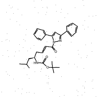 CC(C)C[C@@H](C/C=C/C(=O)n1nc(-c2ccccc2)cc1-c1ccccc1)NC(=O)OC(C)(C)C